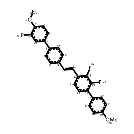 CCOc1ccc(-c2ccc(/C=C/c3ccc(-c4ccc(OC)cc4)c(F)c3F)cc2)cc1F